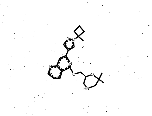 CC1(C)CNC[C@@H](COc2nc(-c3cnn(C4(C)CCC4)c3)cc3ncccc23)O1